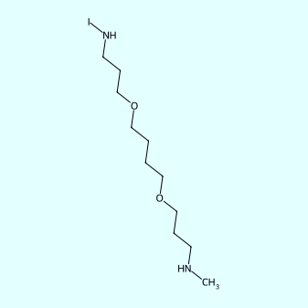 CNCCCOCCCCOCCCNI